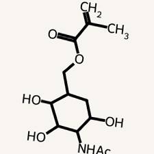 C=C(C)C(=O)OCC1CC(O)C(NC(C)=O)C(O)C1O